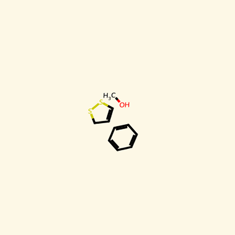 C1=CSSC1.CO.c1ccccc1